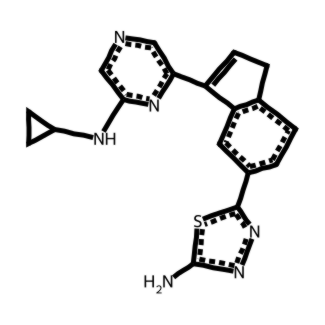 Nc1nnc(-c2ccc3c(c2)C(c2cncc(NC4CC4)n2)=CC3)s1